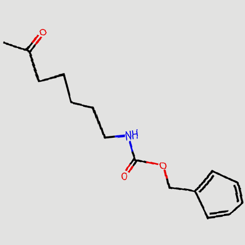 CC(=O)CCCCCNC(=O)OCc1ccccc1